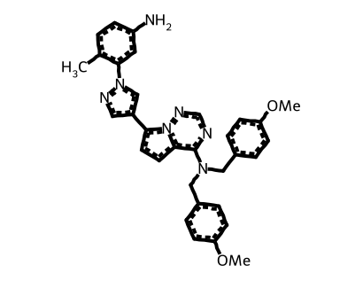 COc1ccc(CN(Cc2ccc(OC)cc2)c2ncnn3c(-c4cnn(-c5cc(N)ccc5C)c4)ccc23)cc1